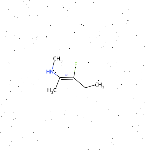 CC/C(F)=C(\C)NC